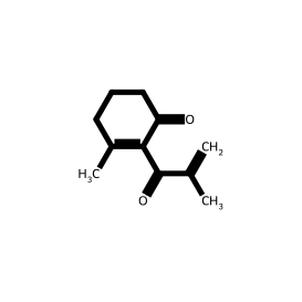 C=C(C)C(=O)C1=C(C)CCCC1=O